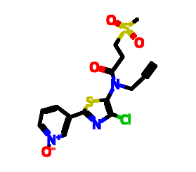 C#CCN(C(=O)CCS(C)(=O)=O)c1sc(-c2ccc[n+]([O-])c2)nc1Cl